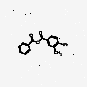 Cc1cc(C(=O)OC(=O)c2ccccc2)ccc1C(C)C